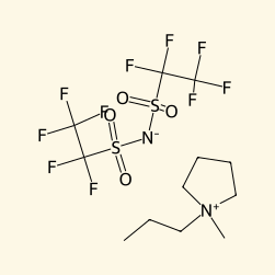 CCC[N+]1(C)CCCC1.O=S(=O)([N-]S(=O)(=O)C(F)(F)C(F)(F)F)C(F)(F)C(F)(F)F